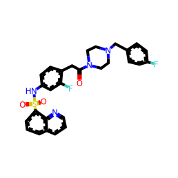 O=C(Cc1ccc(NS(=O)(=O)c2cccc3cccnc23)cc1F)N1CCN(Cc2ccc(F)cc2)CC1